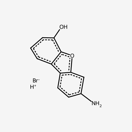 Nc1ccc2c(c1)oc1c(O)cccc12.[Br-].[H+]